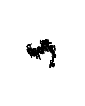 CCC(=O)OCCN(C)CCNc1nc(-c2ccc(NS(=O)(=O)c3cc(Cl)ccc3F)cc2)nc2[nH]nc(C)c12